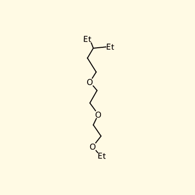 [CH2]COCCOCCOCCC(CC)CC